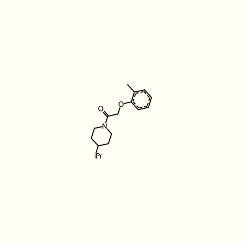 Cc1ccccc1OCC(=O)N1CCC(C(C)C)CC1